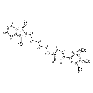 CCc1cc(-c2ccc(OCCCCCN3C(=O)c4ccccc4C3=O)cc2)cc(CC)c1CC